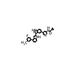 Cc1cc(F)cc(-c2cccc3[nH]c(-c4n[nH]c5ccc(-c6cncc(NC(=O)C7CC7)c6)cc45)cc23)c1